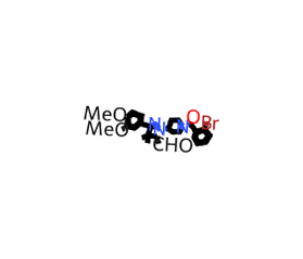 COc1ccc(C2=NN(C3CCN(C(=O)c4ccccc4Br)CC3)C(C=O)C2(C)C)cc1OC